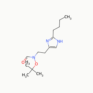 CCCCc1nc(CCN(C=O)OC(C)(C)C)c[nH]1